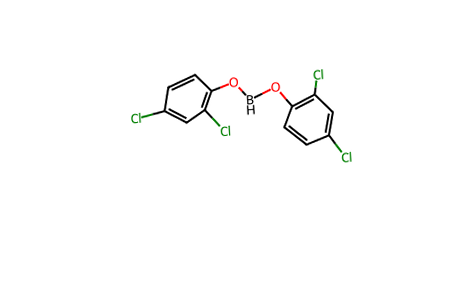 Clc1ccc(OBOc2ccc(Cl)cc2Cl)c(Cl)c1